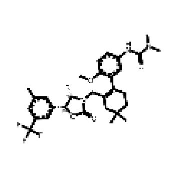 COc1ccc(NC(=O)N(C)C)cc1C1=C(CN2C(=O)O[C@H](c3cc(C)cc(C(F)(F)F)c3)[C@@H]2C)CC(C)(C)CC1